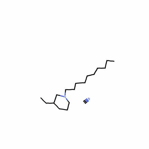 C#N.CCCCCCCCCCN1CCCC(CC)C1